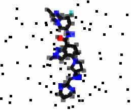 Cc1cn2cc(NC(=O)c3ccc(N4CC[C@@H](NCc5ncccn5)C4)c4cn(C)nc34)cc(F)c2n1